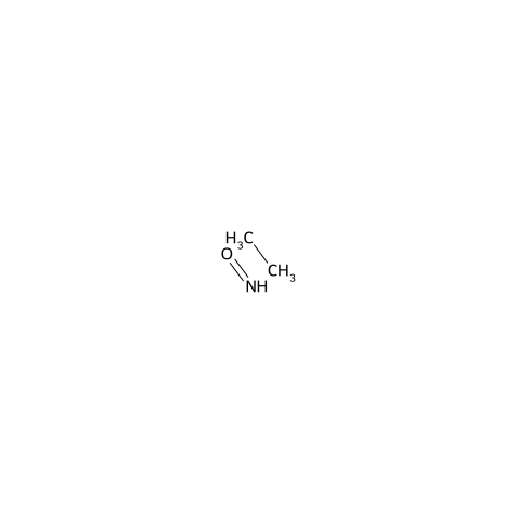 CC.N=O